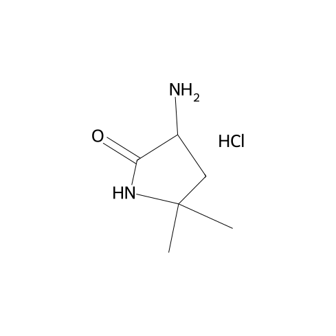 CC1(C)CC(N)C(=O)N1.Cl